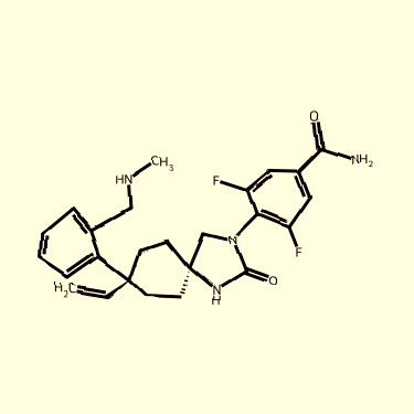 C=C[C@]1(c2ccccc2CNC)CC[C@]2(CC1)CN(c1c(F)cc(C(N)=O)cc1F)C(=O)N2